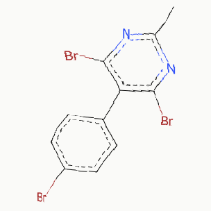 Cc1nc(Br)c(-c2ccc(Br)cc2)c(Br)n1